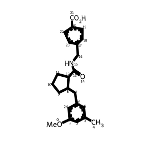 COc1cc(C)cc(CC2CCCC2C(=O)NCc2ccc(C(=O)O)cc2)c1